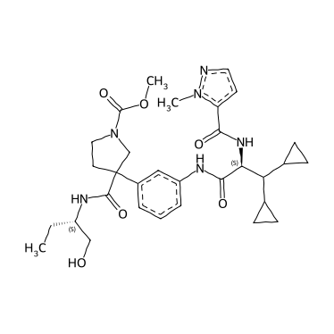 CC[C@@H](CO)NC(=O)C1(c2cccc(NC(=O)[C@@H](NC(=O)c3ccnn3C)C(C3CC3)C3CC3)c2)CCN(C(=O)OC)C1